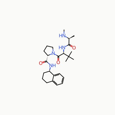 CN[C@@H](C)C(=O)N[C@H](C(=O)N1CCC[C@H]1C(=O)N[C@@H]1CCCc2ccccc21)C(C)(C)C